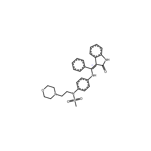 CS(=O)(=O)N(CCN1CCOCC1)c1ccc(N/C(=C2\C(=O)Nc3ccccc32)c2ccccc2)cc1